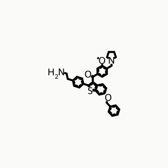 COc1cc(C(=O)c2c(-c3ccc(CCN)cc3)sc3cc(OCc4ccccc4)ccc23)ccc1CN1CCCC1